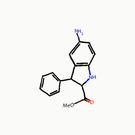 COC(=O)C1Nc2ccc(N)cc2C1c1ccccc1